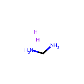 I.I.NCN